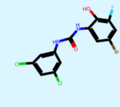 O=C(Nc1cc(Cl)cc(Cl)c1)Nc1cc(Br)cc(F)c1O